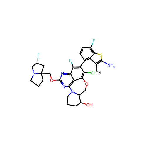 N#Cc1c(N)sc2c(F)ccc(-c3c(Cl)c4c5c(nc(OC[C@@]67CCCN6C[C@H](F)C7)nc5c3F)N3CCCC(O)C3CO4)c12